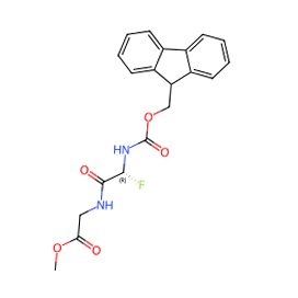 COC(=O)CNC(=O)[C@@H](F)NC(=O)OCC1c2ccccc2-c2ccccc21